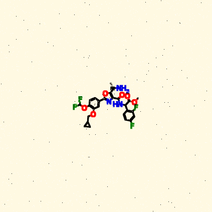 COC(=O)C(NC(=O)c1nc(-c2ccc(OC(F)F)c(OCC3CC3)c2)oc1[C@H](C)N)c1ccc(F)cc1F